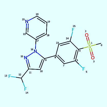 CS(=O)(=O)c1c(F)cc(-c2cc(C(F)F)nn2-c2cccnc2)cc1F